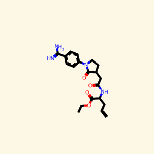 C=CCC(NC(=O)CC1CCN(c2ccc(C(=N)N)cc2)C1=O)C(=O)OCC